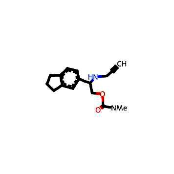 C#CCNC(COC(=O)NC)c1ccc2c(c1)CCC2